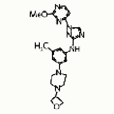 COc1nccc(-n2cnc(Nc3cc(C)cc(N4CCN(C5COC5)CC4)c3)n2)n1